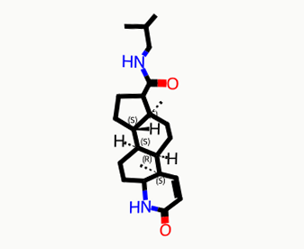 CC(C)CNC(=O)C1CC[C@H]2[C@@H]3CCC4NC(=O)C=C[C@]4(C)[C@@H]3CC[C@]12C